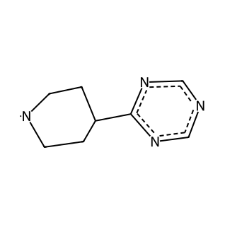 c1ncnc(C2CC[N]CC2)n1